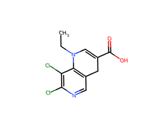 CCN1C=C(C(=O)O)Cc2cnc(Cl)c(Cl)c21